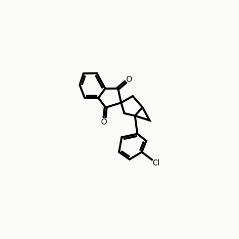 O=C1c2ccccc2C(=O)C12CC1CC1(c1cccc(Cl)c1)C2